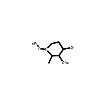 CCCON1CCC([O])C(OC(C)=O)C1C